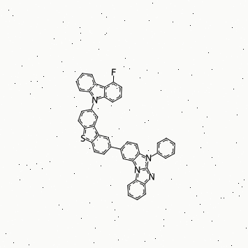 Fc1cccc2c1c1ccccc1n2-c1ccc2sc3ccc(-c4ccc5c(c4)n4c6ccccc6nc4n5-c4ccccc4)cc3c2c1